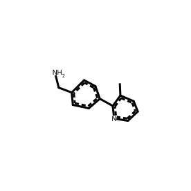 Cc1cccnc1-c1ccc(CN)cc1